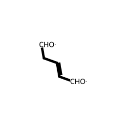 O=[C]C=CC[C]=O